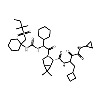 CCC(C)(C)S(=O)(=O)CC1(NC(=O)N[C@H](C(=O)N2CC3C([C@H]2C(=O)NC(CC2CCC2)C(=O)C(=O)NC2CC2)C3(C)C)C2CCCCC2)CCCCC1